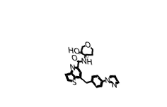 O=C(N[C@@H]1CCOC[C@H]1O)c1cc(Cc2ccc(-n3cccn3)cc2)c2sccc2n1